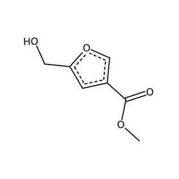 COC(=O)c1coc(CO)c1